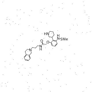 CSNc1cccc(OCC(=O)NCCCN2CCc3ccccc3C2)c1C1CCCNC1